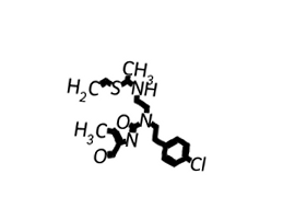 C=CSC(C)NCCN(CCc1ccc(Cl)cc1)c1nc(C=O)c(C)o1